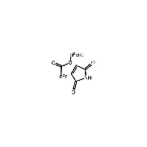 CCCCCOC(=O)CCC.O=C1C=CC(=O)N1